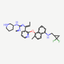 C=N/C(=N\C(=C/C)c1cccnc1Oc1c(C)ccc2c(NCC3CC3(F)F)cccc12)N[C@H]1CCCNC1